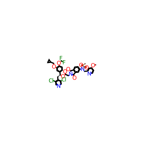 COc1ccnc(CN(c2ccc3c(c2)C(=O)N(CC(=O)O[C@@H](Cc2c(Cl)cncc2Cl)c2ccc(OC(F)F)c(OCC4CC4)c2)C3=O)S(C)(=O)=O)c1